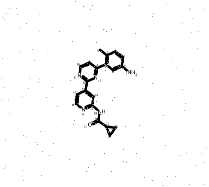 Cc1ccc(N)cc1-c1ccnc(-c2ccnc(NC(=O)C3CC3)c2)n1